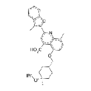 Cc1c(-c2cc(C(=O)O)c3c(OC[C@H]4CC[C@](C)(OC(C)C)CC4)ccc(C)c3n2)oc2ccccc12